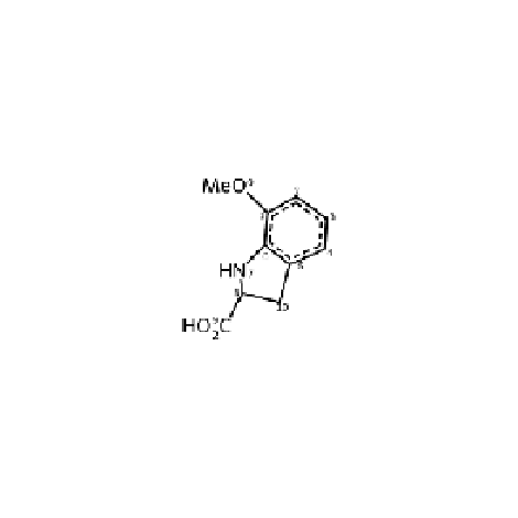 COc1cccc2c1NC(C(=O)O)C2